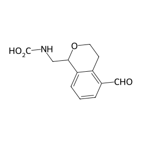 O=Cc1cccc2c1CCOC2CNC(=O)O